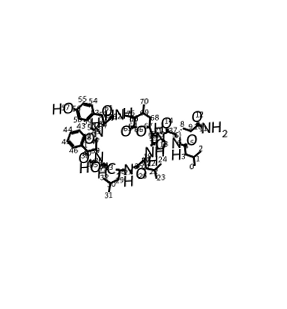 CC(C)CC(=O)N[C@@H](CCC(N)=O)C(=O)N[C@@H]1C(=O)N[C@@H](CC(C)C)C(=O)NC(CC(C)C)C[C@H](O)N(C=O)C(Cc2ccccc2)C(=O)N(C)[C@@H](Cc2ccc(O)cc2)C(=O)N[C@@H]2C(=O)OC1CC2C